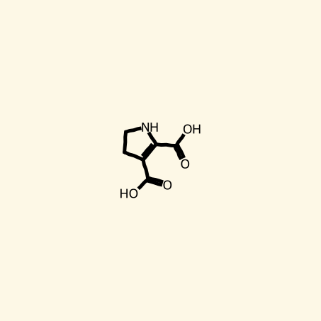 O=C(O)C1=C(C(=O)O)NCC1